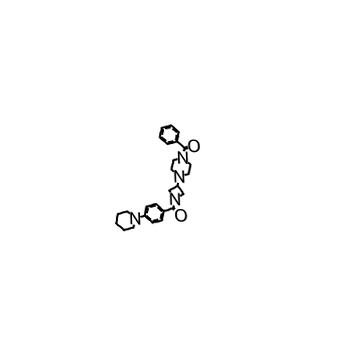 O=C(c1ccccc1)N1CCN(C2CN(C(=O)c3ccc(N4CCCCC4)cc3)C2)CC1